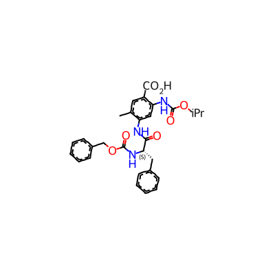 Cc1cc(C(=O)O)c(NC(=O)OC(C)C)cc1NC(=O)[C@H](Cc1ccccc1)NC(=O)OCc1ccccc1